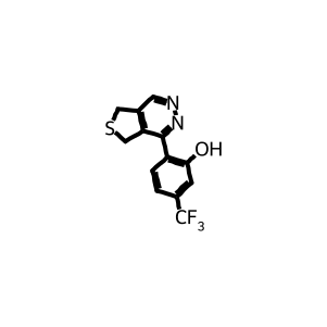 Oc1cc(C(F)(F)F)ccc1-c1nncc2c1CSC2